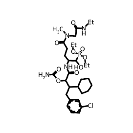 CCNC(=O)CN(C)C(=O)CCC(NC(=O)C(OC(N)=O)C(Cc1cccc(Cl)c1)C1CCCCC1)C(O)P(=O)(OCC)OCC